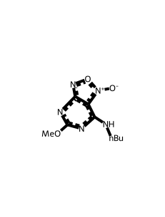 CCCCNc1nc(OC)nc2no[n+]([O-])c12